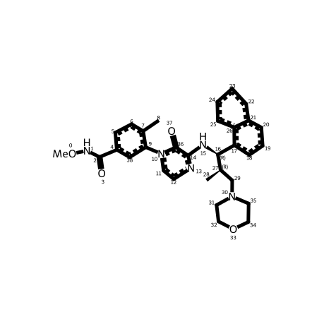 CONC(=O)c1ccc(C)c(-n2ccnc(N[C@@H](c3cccc4ccccc34)[C@H](C)CN3CCOCC3)c2=O)c1